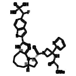 COCC(=O)NC1(c2ccccn2)CN(C(=O)[C@@H]2CC[C@@H]3CCCC[C@H](NC(=O)c4cc5cc(C(F)P(=O)(O)O)ccc5s4)C(=O)N32)C1